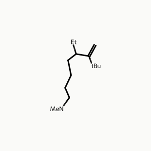 C=C(C(CC)CCCCNC)C(C)(C)C